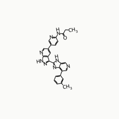 CCC(=O)Nc1ccc(-c2cnc3[nH]nc(-c4nc5c(-c6cccc(C)c6)cncc5[nH]4)c3c2)cn1